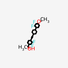 CCOc1ccc(C2CCC(C#Cc3ccc(C(C)O)c(F)c3F)CC2)c(F)c1F